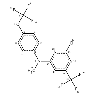 CN(c1ccc(OC(F)(F)F)cc1)c1cc(C(F)(F)F)nc(Cl)n1